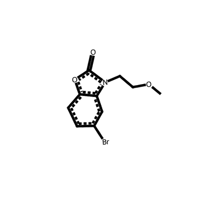 COCCn1c(=O)oc2ccc(Br)cc21